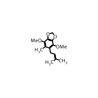 COc1c(C)c(CC=C(C)C)c(OC)c2c1OCO2